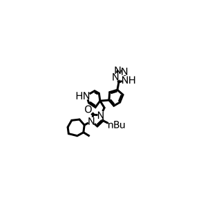 CCCCc1cn(C2CCCCCC2C)c(=O)n1CC1(c2cccc(-c3nnn[nH]3)c2)C=CNC=C1